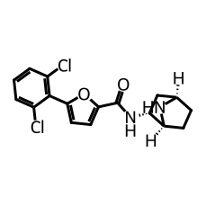 O=C(N[C@@H]1C[C@H]2CC[C@@H]1N2)c1ccc(-c2c(Cl)cccc2Cl)o1